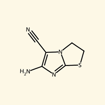 N#Cc1c(N)nc2n1CCS2